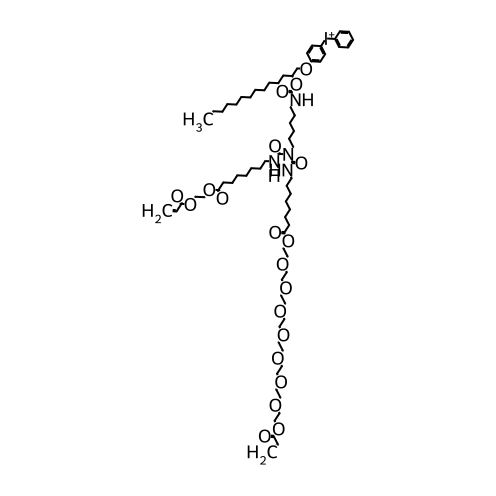 C=CC(=O)OCCOCCOCCOCCOCCOCCOCCOCCOC(=O)CCCCCCCNC(=O)N(CCCCCCNC(=O)OC(CCCCCCCCCCCC)COc1ccc([I+]c2ccccc2)cc1)C(=O)NCCCCCCCC(=O)OCCOC(=O)C=C